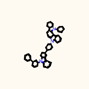 c1ccc(-c2cccc(-n3c4ccccc4c4cc(-c5ccc(-n6c7ccccc7c7c6ccc6c8ccccc8n(-c8ccccc8)c67)cc5)ccc43)c2)cc1